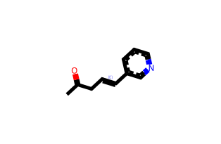 CC(=O)C/C=C/c1cccnc1